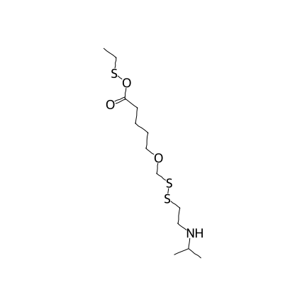 CCSOC(=O)CCCCOCSSCCNC(C)C